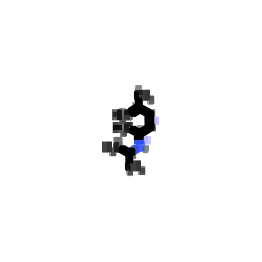 C=C(C)/C=C\C(C)=N\C(C)C